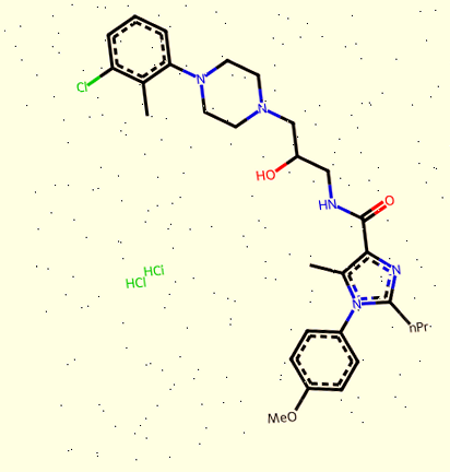 CCCc1nc(C(=O)NCC(O)CN2CCN(c3cccc(Cl)c3C)CC2)c(C)n1-c1ccc(OC)cc1.Cl.Cl